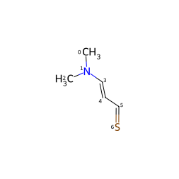 CN(C)C=CC=S